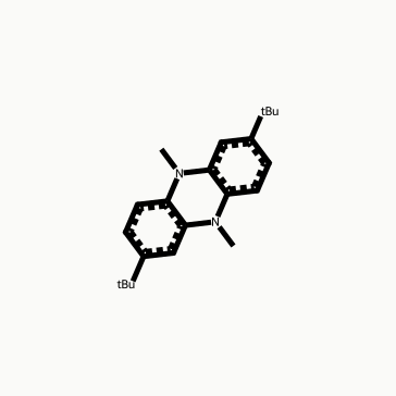 CN1c2ccc(C(C)(C)C)cc2N(C)c2ccc(C(C)(C)C)cc21